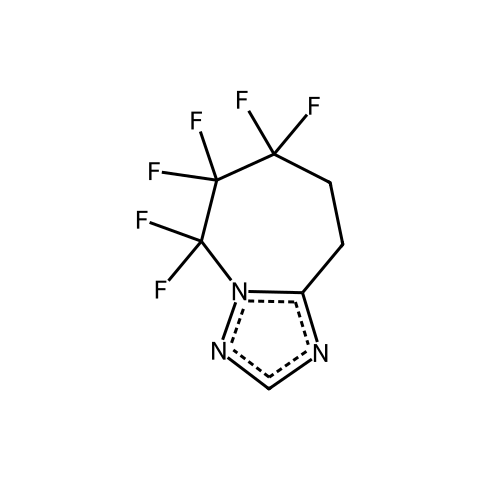 FC1(F)CCc2ncnn2C(F)(F)C1(F)F